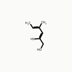 CC=C(C)/C=C(\S)CO